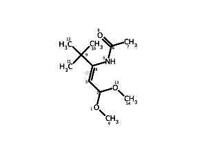 COC(/C=C(\NC(C)=O)C(C)(C)C)OC